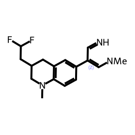 CN/C=C(\C=N)c1ccc2c(c1)CC(CC(F)F)CN2C